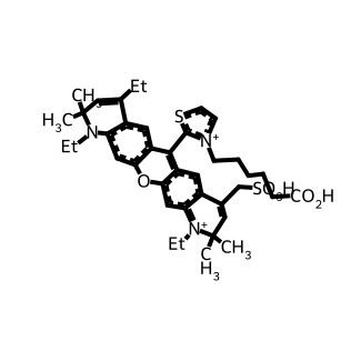 CCC1=CC(C)(C)N(CC)c2cc3c(cc21)C(c1scc[n+]1CCCCCC(=O)O)=c1cc2c(cc1O3)=[N+](CC)C(C)(C)C=C2CS(=O)(=O)O